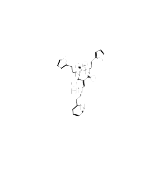 O=C1C(=CNCCc2ccccn2)C(=O)N(CCc2cccs2)S(=O)(=O)N1CCc1cccs1